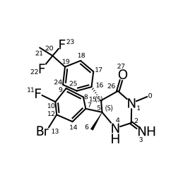 CN1C(=N)N[C@](C)(c2ccc(F)c(Br)c2)[C@H](c2ccc(C(C)(F)F)cc2)C1=O